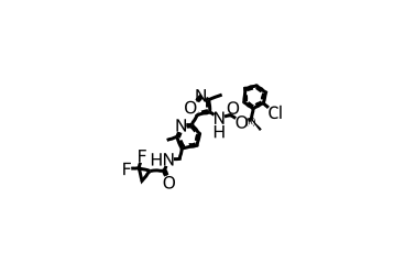 Cc1nc(-c2onc(C)c2NC(=O)O[C@H](C)c2ccccc2Cl)ccc1CNC(=O)C1CC1(F)F